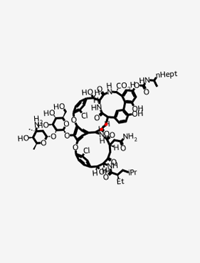 CCCCCCCC(C)NC(=O)Oc1cc(O)c2c(c1)[C@@H](C(=O)O)NC(=O)[C@H]1NC(=O)[C@H](CC(=O)[C@@H]3NC(=O)[C@H](CC(N)=O)CC(=O)[C@H](NC(=O)[C@H](CC)CC(C)C)[C@H](O)c4ccc(c(Cl)c4)Oc4cc3cc(c4O[C@@H]3O[C@H](CO)[C@@H](O)[C@H](O)[C@H]3O[C@H]3C[C@](C)(N)[C@H](O)[C@H](C)O3)Oc3ccc(cc3Cl)[C@H]1O)c1ccc(O)c-2c1